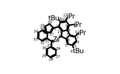 CC(C)c1cc(C(C)(C)C)cc2c1-c1c(C(C)C)c(C(C)C)c(C(C)(C)C)c(C3=CC=CC3)c1[CH]2[Zr]=[C](c1ccccc1)c1ccccc1